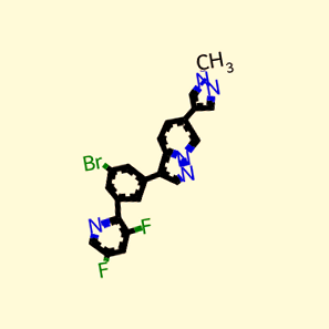 Cn1cc(-c2ccc3c(-c4cc(Br)cc(-c5ncc(F)cc5F)c4)cnn3c2)cn1